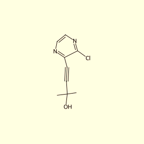 CC(C)(O)C#Cc1nccnc1Cl